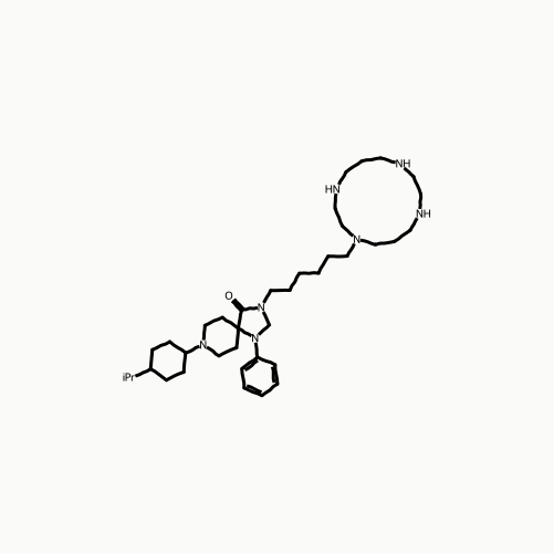 CC(C)C1CCC(N2CCC3(CC2)C(=O)N(CCCCCCN2CCCNCCNCCCNCC2)CN3c2ccccc2)CC1